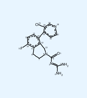 NC(N)=NC(=O)N1CCc2c(F)ccc(-c3ccncc3Cl)c2C1